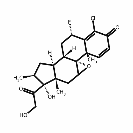 C[C@H]1C[C@H]2[C@@H]3C[C@H](F)C4=C(Cl)C(=O)C=C[C@]4(C)[C@]34OC4C[C@]2(C)[C@@]1(O)C(=O)CO